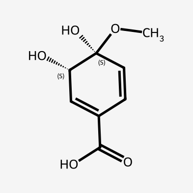 CO[C@@]1(O)C=CC(C(=O)O)=C[C@@H]1O